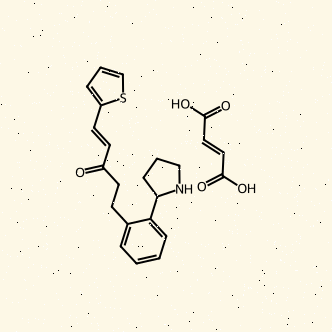 O=C(C=Cc1cccs1)CCc1ccccc1C1CCCN1.O=C(O)C=CC(=O)O